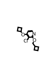 Clc1c(OC2CCC2)ccnc1OCC1CCC1